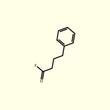 O=C(F)CCCc1ccccc1